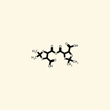 CC1(C)SC(C(=O)O)C(C(=O)OC(=O)C2SC(C)(C)SC2C(=O)O)S1